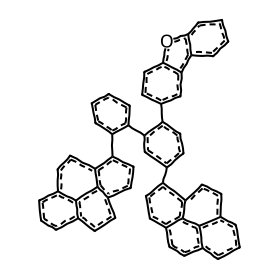 c1ccc(-c2ccc3ccc4cccc5ccc2c3c45)c(-c2cc(-c3ccc4ccc5cccc6ccc3c4c56)ccc2-c2ccc3oc4ccccc4c3c2)c1